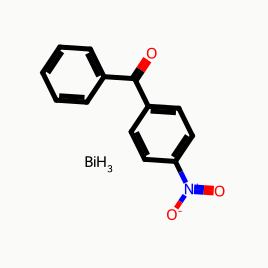 O=C(c1ccccc1)c1ccc([N+](=O)[O-])cc1.[BiH3]